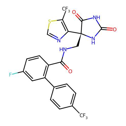 O=C1NC(=O)[C@@](CNC(=O)c2ccc(F)cc2-c2ccc(C(F)(F)F)cc2)(c2ncsc2C(F)(F)F)N1